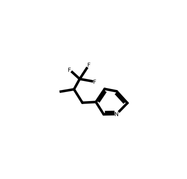 CC(Cc1cccnc1)C(F)(F)F